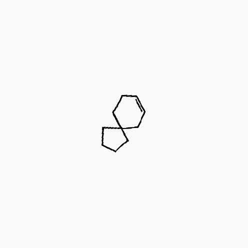 C1=CCC2(CC1)CCCC2